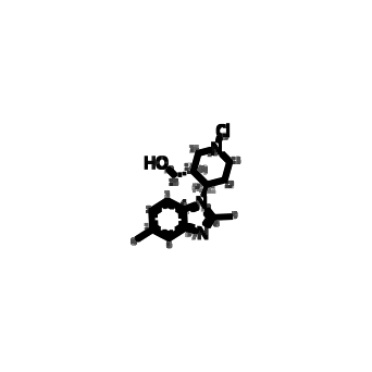 Cc1ccc2c(c1)nc(C)n2[C@@H]1CCN(Cl)C[C@H]1CO